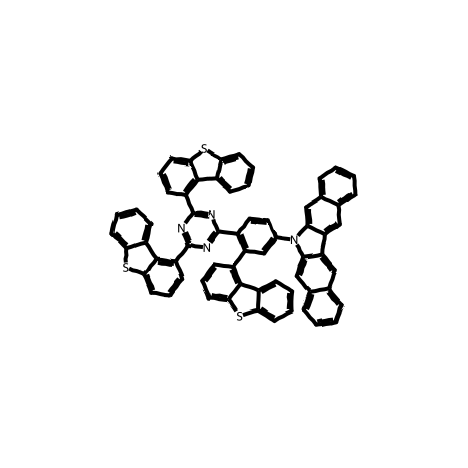 c1ccc2cc3c(cc2c1)c1cc2ccccc2cc1n3-c1ccc(-c2nc(-c3cccc4sc5ccccc5c34)nc(-c3cccc4sc5ccccc5c34)n2)c(-c2cccc3sc4ccccc4c23)c1